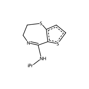 CC(C)NC1=NCCSc2ccsc21